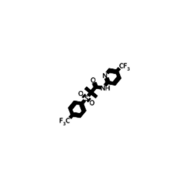 CC(C)(C(=O)Nc1ccc(C(F)(F)F)cn1)S(=O)(=O)c1ccc(C(F)(F)F)cc1